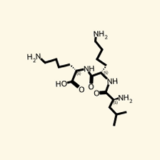 CC(C)C[C@H](N)C(=O)N[C@@H](CCCCN)C(=O)N[C@@H](CCCCN)C(=O)O